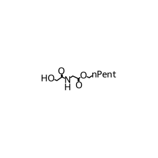 CCCCCCOC(=O)CNC(=O)CO